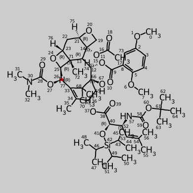 COc1ccc(OC)c(C(=O)O[C@H]2[C@@H]3[C@]4(OC(C)=O)CO[C@@H]4C[C@H]4O[C@@H]([C@H](OC(=O)N(C)C)C5=C(C)[C@@H](OC(=O)[C@H](O[Si](C(C)C)(C(C)C)C(C)C)[C@H](C=C(C)C)NC(=O)OC(C)(C)C)C[C@]2(O)C5(C)C)[C@@]34C)c1